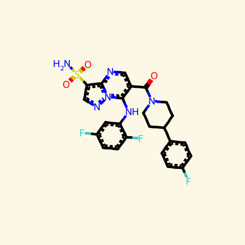 NS(=O)(=O)c1cnn2c(Nc3cc(F)ccc3F)c(C(=O)N3CCC(c4ccc(F)cc4)CC3)cnc12